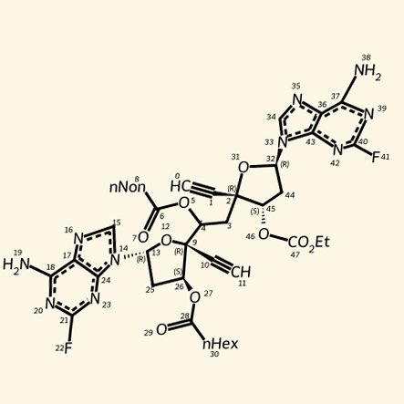 C#C[C@@]1(C[C](OC(=O)CCCCCCCCC)[C@@]2(C#C)O[C@@H](n3cnc4c(N)nc(F)nc43)C[C@@H]2OC(=O)CCCCCC)O[C@@H](n2cnc3c(N)nc(F)nc32)C[C@@H]1OC(=O)OCC